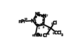 CCCCc1c(C(Cl)(Cl)C(Cl)(Cl)Cl)nnn1CCC